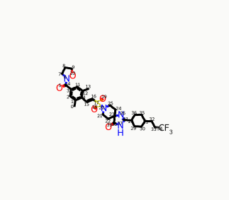 Cc1cc(C(=O)N2CCCO2)cc(C)c1/C=C/S(=O)(=O)N1CCC2(CC1)N=C(C1CCC(CCC(F)(F)F)CC1)NC2=O